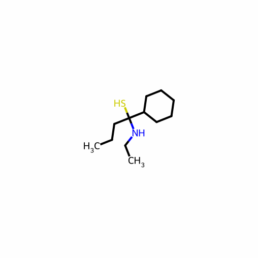 CCCC(S)(NCC)C1CCCCC1